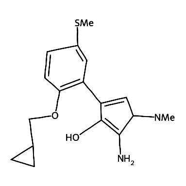 CNC1C=C(c2cc(SC)ccc2OCC2CC2)C(O)=C1N